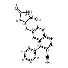 N#Cc1cnc2ccc(CC3SC(=O)NC3=O)cc2c1-c1ccccc1